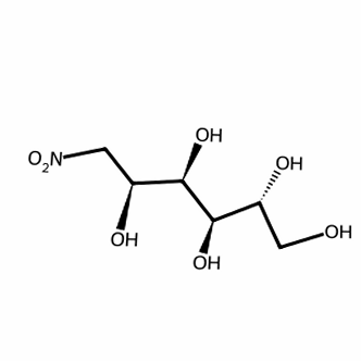 O=[N+]([O-])C[C@H](O)[C@@H](O)[C@H](O)[C@H](O)CO